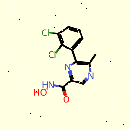 Cc1ncc(C(=O)NO)nc1-c1cccc(Cl)c1Cl